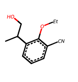 CCOc1c(C#N)cccc1[C](C)CO